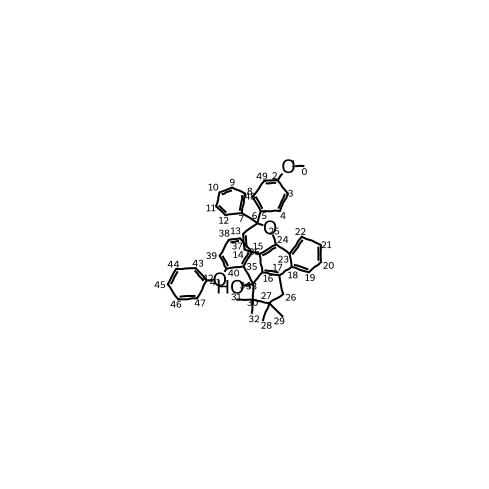 COc1ccc(C2(c3ccccc3)C=Cc3c4c(c5ccccc5c3O2)CC(C)(C)C(C)(C)C4(O)c2ccccc2Oc2ccccc2)cc1